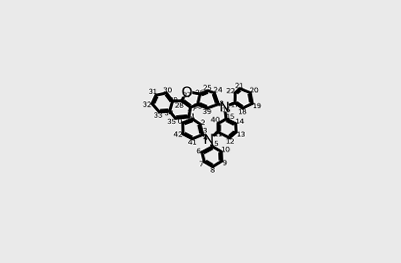 c1ccc(N(c2ccccc2)c2cccc(N(c3ccccc3)c3ccc4oc5c6ccccc6ccc5c4c3)c2)cc1